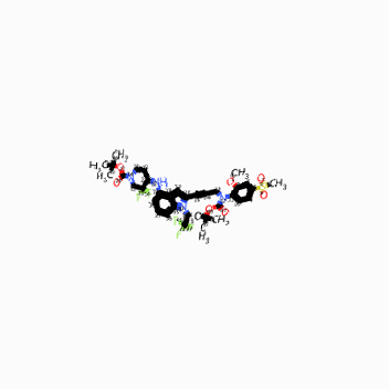 COc1cc(S(C)(=O)=O)ccc1N(CC#Cc1cc2c(NC3CCN(C(=O)OC(C)(C)C)CC3(F)F)cccc2n1CC(F)(F)F)C(=O)OC(C)(C)C